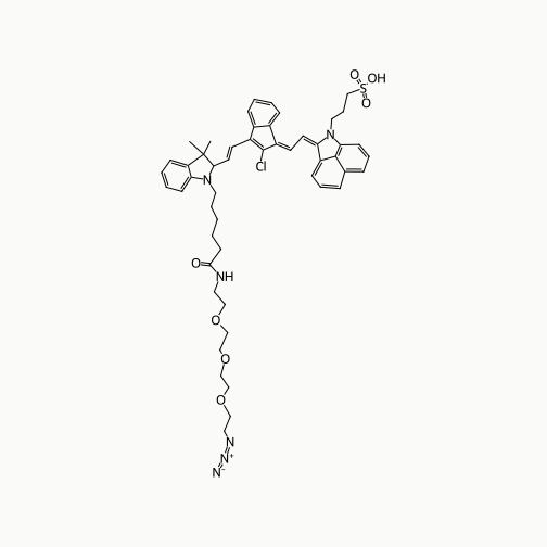 CC1(C)c2ccccc2N(CCCCCC(=O)NCCOCCOCCOCCN=[N+]=[N-])C1/C=C/C1=C(Cl)C(=C/C=c2\c3cccc4cccc(c43)n2CCCS(=O)(=O)O)/c2ccccc21